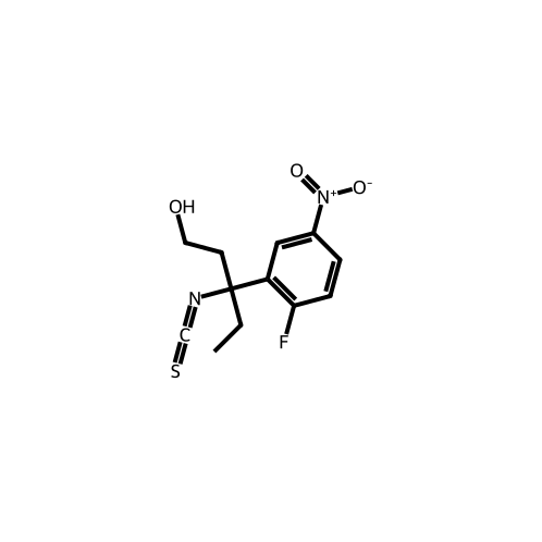 CCC(CCO)(N=C=S)c1cc([N+](=O)[O-])ccc1F